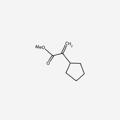 C=C(C(=O)OC)C1CCCC1